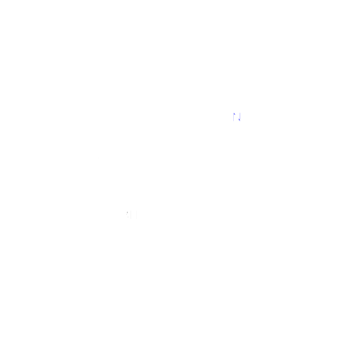 CBc1cccc(C#N)c1